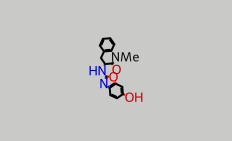 CNC(=O)C(Cc1ccccc1)Nc1nc2ccc(O)cc2o1